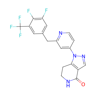 O=C1NCCc2c1cnn2-c1ccnc(Cc2cc(F)c(F)c(C(F)(F)F)c2)c1